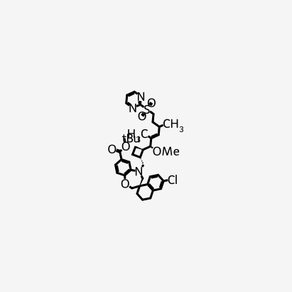 CO[C@H](/C(C)=C/C(C)CCS(=O)(=O)c1ncccn1)[C@@H]1CC[C@H]1CN1C[C@@]2(CCCc3cc(Cl)ccc32)COc2ccc(C(=O)OC(C)(C)C)cc21